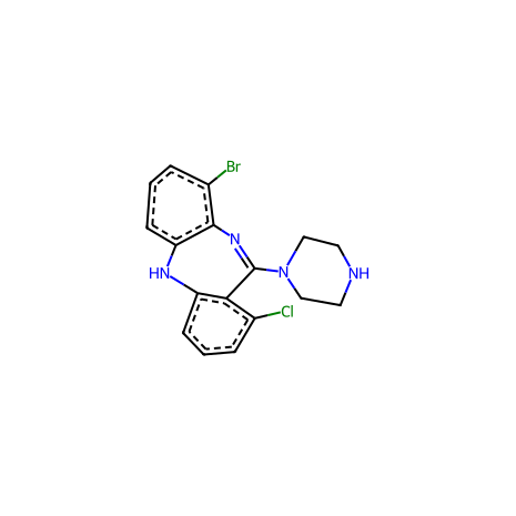 Clc1cccc2c1C(N1CCNCC1)=Nc1c(Br)cccc1N2